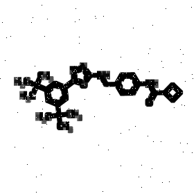 CC(C)(C)c1cc(-c2nnc(NCc3ccc(NC(=O)C4CCC4)cc3)o2)cc(C(C)(C)C)c1